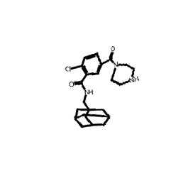 O=C(NCC12CC3CC(CC(C3)C1)C2)c1cc(C(=O)N2CCNCC2)ccc1Cl